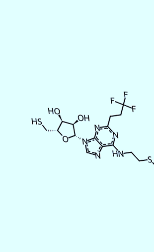 CSCCNc1nc(CCC(F)(F)F)nc2c1ncn2[C@@H]1O[C@H](CS)[C@@H](O)[C@H]1O